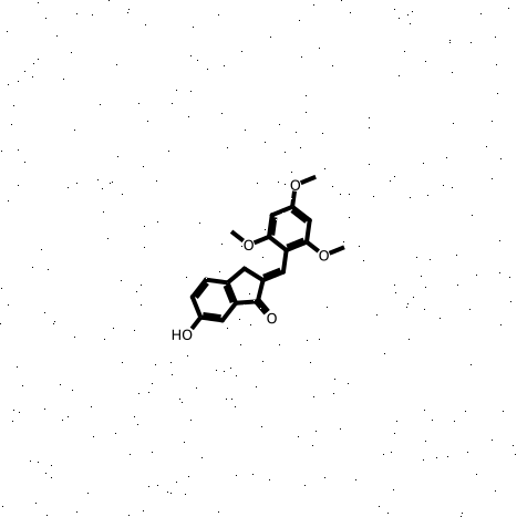 COc1cc(OC)c(/C=C2\Cc3ccc(O)cc3C2=O)c(OC)c1